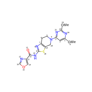 COc1cc(N2CCc3nc(NC(=O)c4cocn4)sc3C2)nc(OC)n1